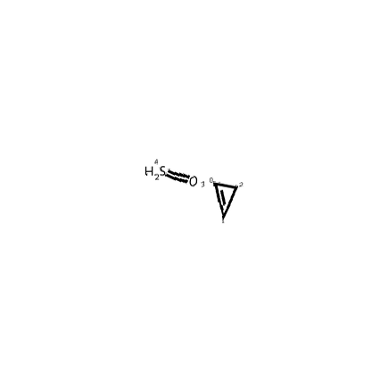 C1=CC1.O=[SH2]